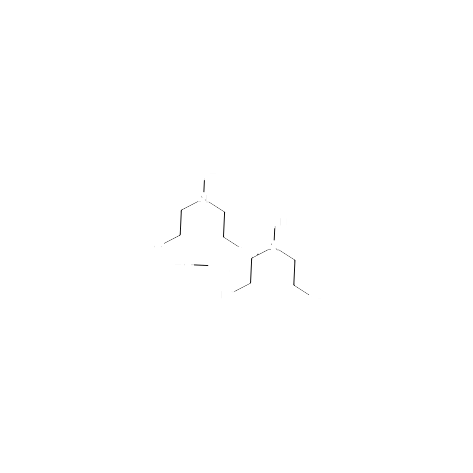 CN(CCO)CCO.CN(CCO)CCO.O=S(=O)(O)O